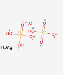 O.O=P(O)(O)O.O=S(=O)(O)O.[MgH2]